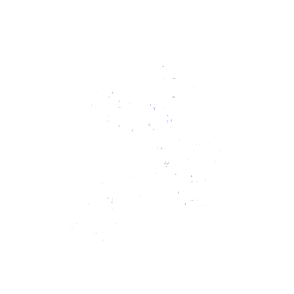 c1ccc(N(c2ccc(-c3ccc(C4(c5ccc(-c6nc(-c7ccc8ccccc8c7)nc(-c7ccc8ccccc8c7)n6)cc5)c5ccccc5-c5ccccc54)cc3)cc2)c2cccc3ccccc23)cc1